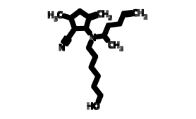 C=CCCC(C)N(CCCCCCO)C1C(=C)CC(C)C1C#N